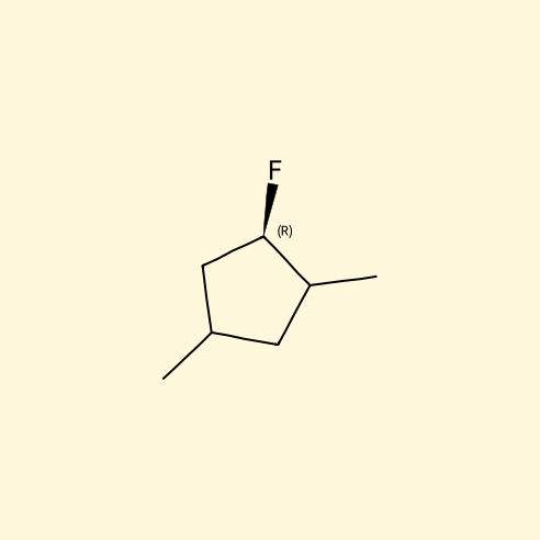 CC1CC(C)[C@H](F)C1